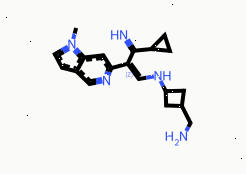 Cn1ccc2cnc(/C(=C/NC3CC(CN)C3)C(=N)C3CC3)cc21